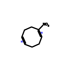 O=[N+]([O-])/C1=C/CC/C=C\CC1